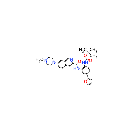 CN1CCN(c2ccc3cc(C(=O)Nc4cc(-c5ccco5)ccc4NC(=O)OC(C)(C)C)ncc3c2)CC1